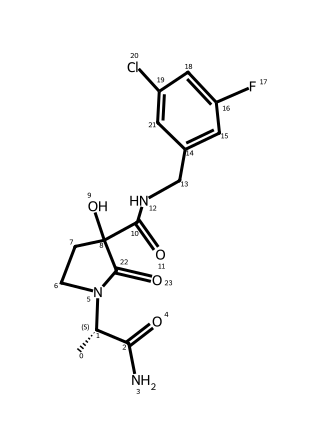 C[C@@H](C(N)=O)N1CCC(O)(C(=O)NCc2cc(F)cc(Cl)c2)C1=O